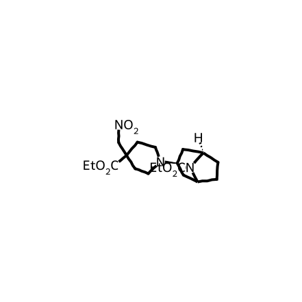 CCOC(=O)N1C2CC[C@@H]1C[C@H](N1CCC(C[N+](=O)[O-])(C(=O)OCC)CC1)C2